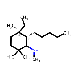 CCCCC[C@@H]1C(NC)C(C)(C)CC[C@@]1(C)CC